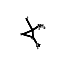 CC1(N)CC1Br